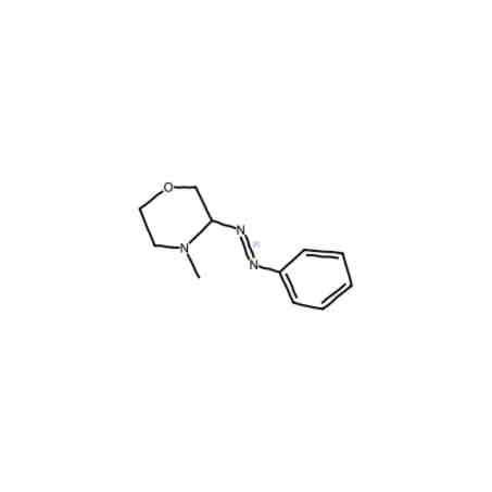 CN1CCOCC1/N=N/c1ccccc1